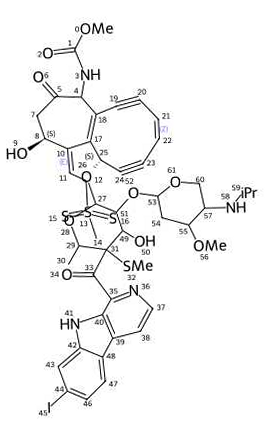 COC(=O)NC1C(=O)C[C@H](O)/C(=C/CS(C)(=S)=S)C2=C1C#C/C=C\C#C[C@@H]2OC1OC(C)C(SC)(C(=O)c2nccc3c2[nH]c2cc(I)ccc23)C(O)C1OC1CC(OC)C(NC(C)C)CO1